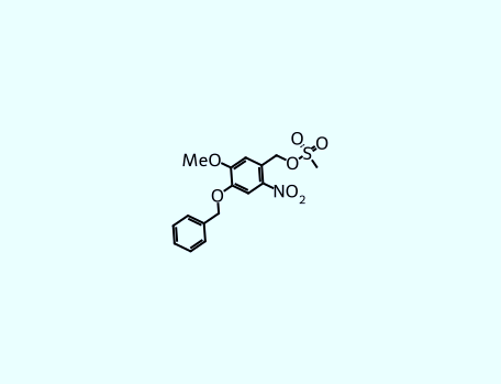 COc1cc(COS(C)(=O)=O)c([N+](=O)[O-])cc1OCc1ccccc1